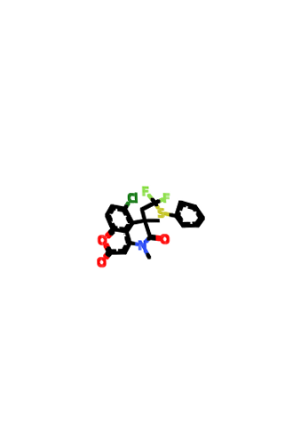 CN1C(=O)C(C)(CC(F)(F)Sc2ccccc2)c2c(Cl)ccc3oc(=O)cc1c23